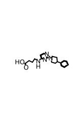 O=C(O)CCCNc1ccnc(N2CCC(c3ccccc3)CC2)n1